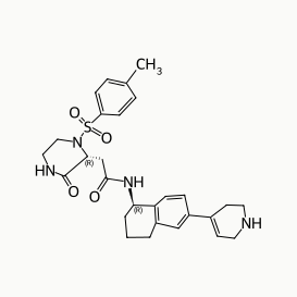 Cc1ccc(S(=O)(=O)N2CCNC(=O)[C@H]2CC(=O)N[C@@H]2CCCc3cc(C4=CCNCC4)ccc32)cc1